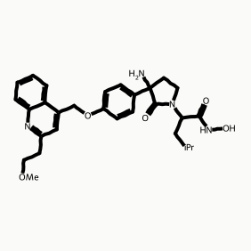 COCCc1cc(COc2ccc(C3(N)CCN(C(CC(C)C)C(=O)NO)C3=O)cc2)c2ccccc2n1